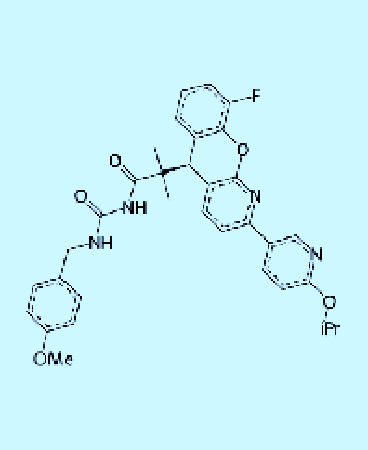 COc1ccc(CNC(=O)NC(=O)C(C)(C)[C@@H]2c3ccc(-c4ccc(OC(C)C)nc4)nc3Oc3c(F)cccc32)cc1